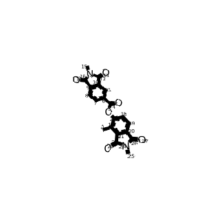 Cc1c(OC(=O)c2ccc3c(c2)C(=O)N(C)C3=O)ccc2c1C(=O)N(C)C2=O